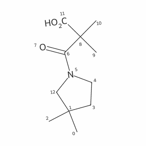 CC1(C)CCN(C(=O)C(C)(C)C(=O)O)C1